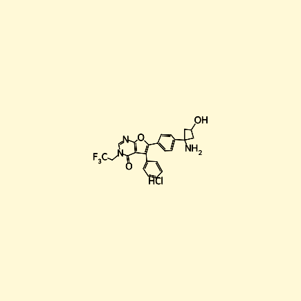 Cl.NC1(c2ccc(-c3oc4ncn(CC(F)(F)F)c(=O)c4c3-c3ccccc3)cc2)CC(O)C1